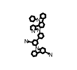 N#Cc1cc(-c2cccc(-n3c4ccc5c6ccccc6n(-c6ccccc6)c5c4c4cccnc43)c2)cc(-n2c3ccccc3c3cc(C#N)ccc32)c1